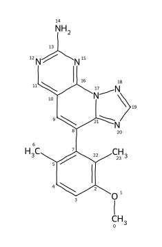 COc1ccc(C)c(-c2cc3cnc(N)nc3n3ncnc23)c1C